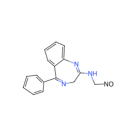 O=NCNC1=Nc2ccccc2C(c2ccccc2)=NC1